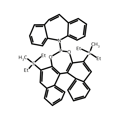 CCS(C)(CC)c1cc2ccccc2c2c1op(N1c3ccccc3C=Cc3ccccc31)oc1c(S(C)(CC)CC)cc3ccccc3c12